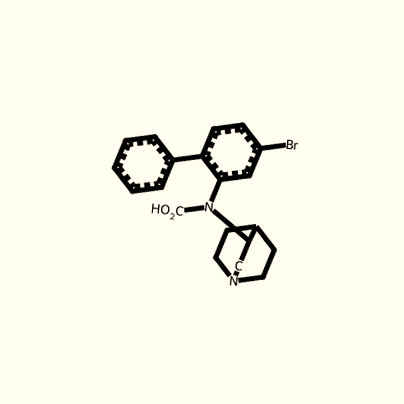 O=C(O)N(c1cc(Br)ccc1-c1ccccc1)C1CN2CCC1CC2